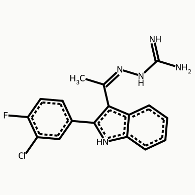 C/C(=N/NC(=N)N)c1c(-c2ccc(F)c(Cl)c2)[nH]c2ccccc12